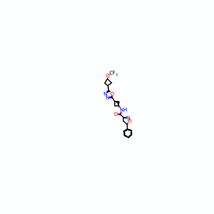 O=C(NC12CC(c3nnc(C4CC(OC(F)(F)F)C4)o3)(C1)C2)C1=NOC(c2ccccc2)C1